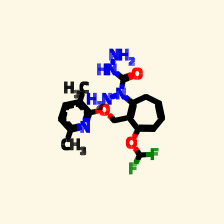 Cc1ccc(C)c(OCC2=C(N(N)C(=O)NN)CC=CC=C2OC(F)F)n1